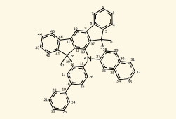 CC1(C)c2ccccc2-c2cc3c(c(N(c4ccc(-c5ccccc5)cc4)c4ccc5ccccc5c4)c21)C(C)(C)c1ccccc1-3